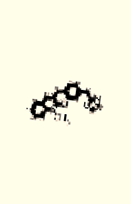 Cn1c(=O)c(Cc2ccc(Cc3nnco3)cc2)cc2ccccc21